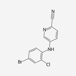 N#Cc1ccc(Nc2ccc(Br)cc2Cl)cn1